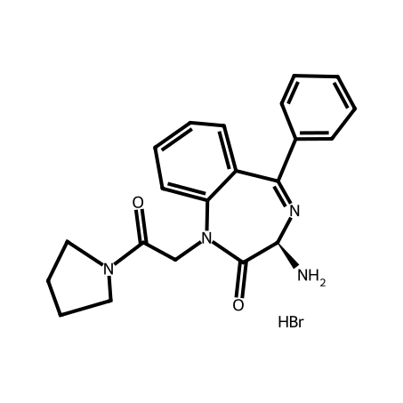 Br.N[C@@H]1N=C(c2ccccc2)c2ccccc2N(CC(=O)N2CCCC2)C1=O